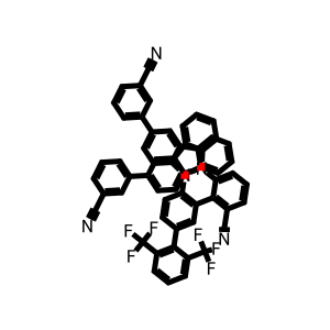 N#Cc1cccc(-c2ccc3c(c2)c2ccccc2n3-c2ccc(-c3c(C(F)(F)F)cccc3C(F)(F)F)cc2-c2c(C#N)cccc2-n2c3ccccc3c3cc(-c4cccc(C#N)c4)ccc32)c1